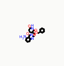 Cc1nc2cccc(N)c2c(=O)n1[C@]1(C(=O)OCc2ccccc2)CCC(=O)NC1=O